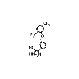 N#Cc1[nH]nnc1-c1cccc(COc2cc(C(F)(F)F)ccc2C(F)(F)F)c1